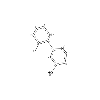 Cc1cccnc1-c1cc(O)ccn1